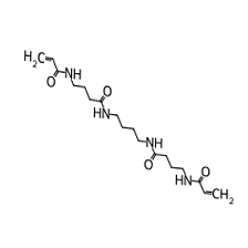 C=CC(=O)NCCCC(=O)NCCCCNC(=O)CCCNC(=O)C=C